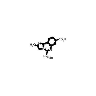 Cc1cn2c(NC(C)(C)C)nc3cc(C(=O)O)ccc3c2n1